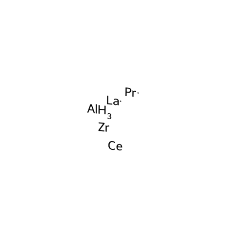 [AlH3].[Ce].[La].[Pr].[Zr]